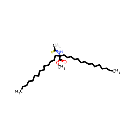 CCCCCCCCCCCCCCCC(CCCCCCCCCCCCCC)(NC(C)=S)C(=O)OC